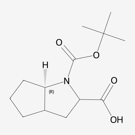 CC(C)(C)OC(=O)N1C(C(=O)O)CC2CCC[C@H]21